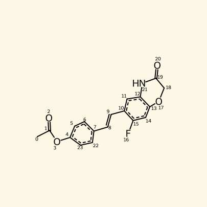 CC(=O)Oc1ccc(/C=C/c2cc3c(cc2F)OCC(=O)N3)cc1